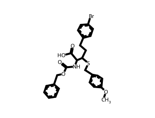 COc1ccc(CSC(CCc2ccc(Br)cc2)C(NC(=O)OCc2ccccc2)C(=O)O)cc1